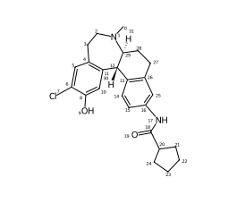 CN1CCc2cc(Cl)c(O)cc2[C@H]2c3ccc(NC(=O)C4CCCC4)cc3CC[C@@H]21